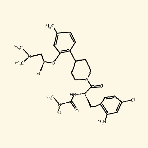 CC[C@@H](CN(C)C)Oc1cc(C)ccc1C1CCN(C(=O)[C@@H](Cc2ccc(Cl)cc2N)NC(=O)N(C)CC)CC1